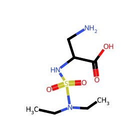 CCN(CC)S(=O)(=O)NC(CN)C(=O)O